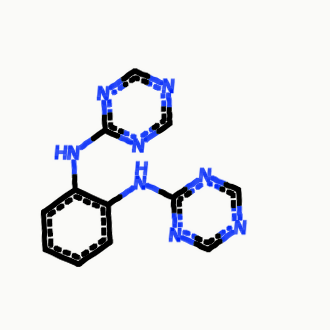 c1ccc(Nc2ncncn2)c(Nc2ncncn2)c1